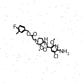 COc1nc(N)c(Cl)cc1C(=O)N[C@@H]1CCN(CC(=O)OCc2ccc(F)c(C)c2)C[C@@H]1OC